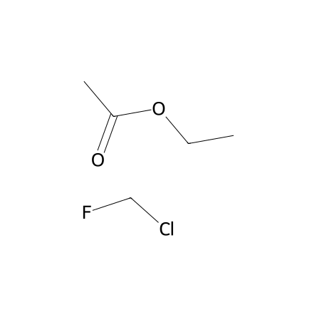 CCOC(C)=O.FCCl